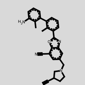 C#CC1CCN(Cc2cc(C#N)c3oc(-c4cccc(-c5cccc(N)c5C)c4C)nc3c2)C1